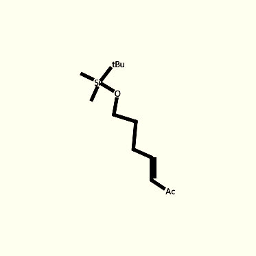 CC(=O)C=CCCCO[Si](C)(C)C(C)(C)C